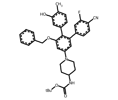 Cc1ccc(-c2c(OCc3ccccc3)cc(N3CCC(NC(=O)OC(C)(C)C)CC3)cc2-c2ccc(C#N)c(F)c2)cc1O